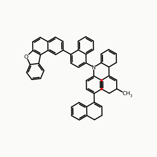 CC1C=C(C2CC=CC=C2N(c2ccc(C3=CCCc4ccccc43)cc2)c2ccc(-c3ccc4ccc5oc6ccccc6c5c4c3)c3ccccc23)C=CC1